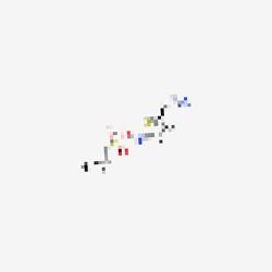 C=CCS(=O)(=O)ON=C1C=CC(=CC#N)S1